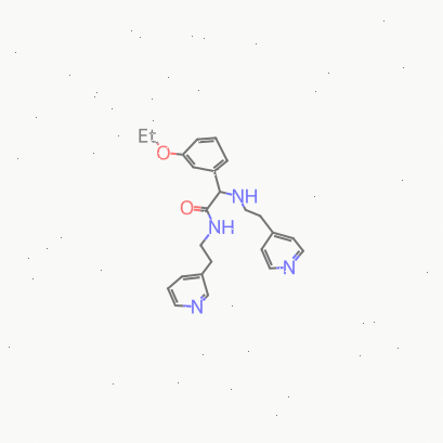 CCOc1cccc(C(NCCc2ccncc2)C(=O)NCCc2cccnc2)c1